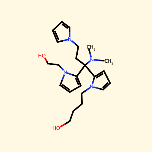 CN(C)C(CCn1[c]ccc1)(c1cccn1CCO)c1cccn1CCCCO